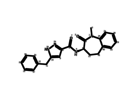 CN1C(=O)[C@H](NC(=O)c2cc(Cc3ccccc3)[nH]n2)CCc2ccccc21